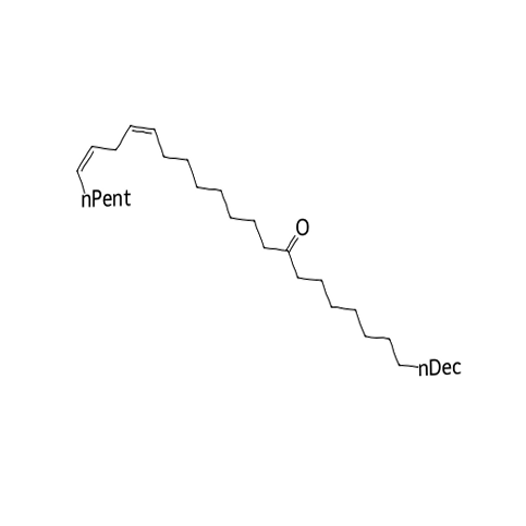 CCCCC/C=C\C/C=C\CCCCCCCC(=O)CCCCCCCCCCCCCCCCC